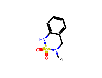 CC(C)N1Cc2ccccc2NS1(=O)=O